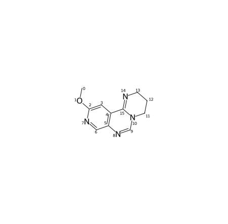 COc1cc2c(cn1)N=CN1CCCN=C21